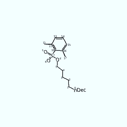 CCCCCCCCCCCCCCCOS(=O)(=O)c1c(C)cccc1C